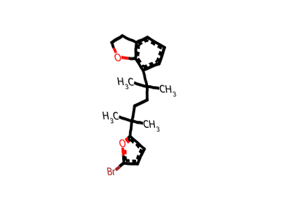 CC(C)(CCC(C)(C)c1cccc2c1OCC2)c1ccc(Br)o1